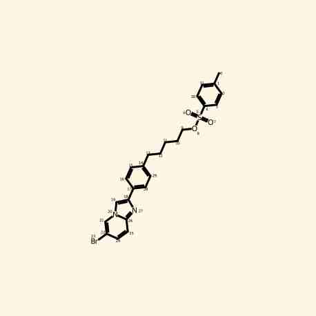 Cc1ccc(S(=O)(=O)OCCCCCc2ccc(-c3cn4cc(Br)ccc4n3)cc2)cc1